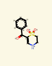 O=C(C1=CNCCS1(=O)=O)c1ccccc1